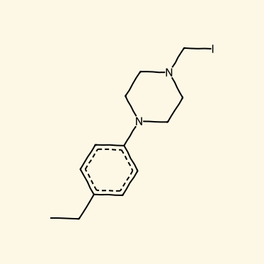 CCc1ccc(N2CCN(CI)CC2)cc1